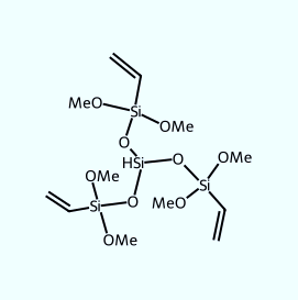 C=C[Si](OC)(OC)O[SiH](O[Si](C=C)(OC)OC)O[Si](C=C)(OC)OC